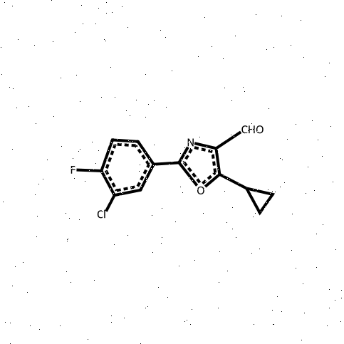 O=Cc1nc(-c2ccc(F)c(Cl)c2)oc1C1CC1